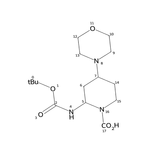 CC(C)(C)OC(=O)NC1CC(N2CCOCC2)CCN1C(=O)O